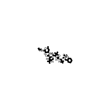 C=CCNC(=O)C(=O)C(CCC)NC(=O)[C@@H]1[C@@H]2[C@H](CN1C(=O)[C@@H](NC(=O)N[C@H](CN(CC1CCCCC1)S(C)(=O)=O)C(C)(C)C)C(C)(C)C)C2(C)C